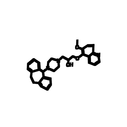 COc1ccc2ncccc2c1OCC(O)CN1CCN(C2c3ccccc3CCc3ccccc32)CC1